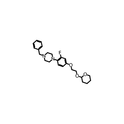 Fc1cc(OCCOC2CCCCO2)ccc1N1CCN(Cc2ccccc2)CC1